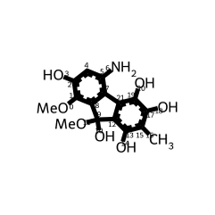 COc1c(O)cc(N)c2c1C(O)(OC)c1c(O)c(C)c(O)c(O)c1-2